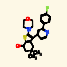 CC1(C)CC(=O)c2sc(N3CCOCC3)c(-c3ccnc(-c4ccc(F)cc4)c3)c2C1